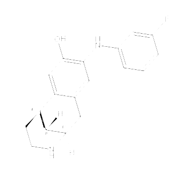 Oc1cc2c(cc1Nc1cccc(F)c1)C[C@H]1NCC[C@@]23CCCC[C@@H]13